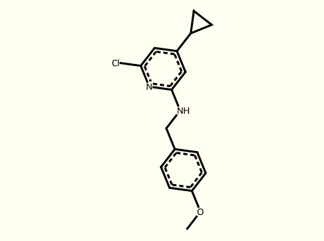 COc1ccc(CNc2cc(C3CC3)cc(Cl)n2)cc1